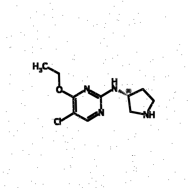 CCOc1nc(N[C@@H]2CCNC2)ncc1Cl